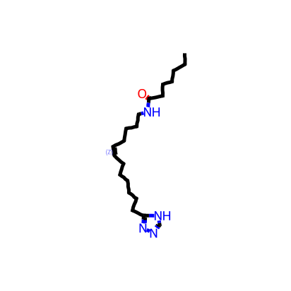 CCCCCCC(=O)NCCCC/C=C\CCCCCCc1nnc[nH]1